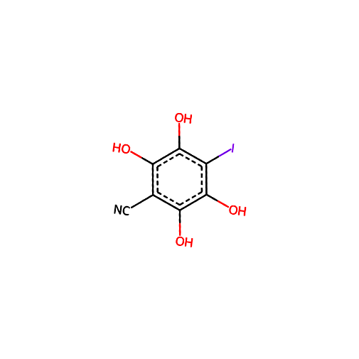 N#Cc1c(O)c(O)c(I)c(O)c1O